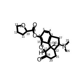 CC[C@]12c3c4ccc(OC(=O)C5CCCO5)c3O[C@H]1C(=O)CCC2[C@H](N(C)C)C4